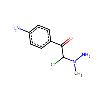 CN(N)C(Cl)C(=O)c1ccc(N)cc1